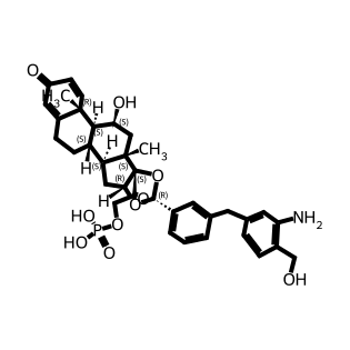 C[C@]12C=CC(=O)C=C1CC[C@@H]1[C@@H]2[C@@H](O)C[C@@]2(C)[C@H]1C[C@H]1O[C@@H](c3cccc(Cc4ccc(CO)c(N)c4)c3)O[C@]12C(=O)COP(=O)(O)O